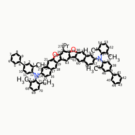 Cc1cc(-c2ccccc2)ccc1N(c1ccc2cc3c(cc2c1)oc1c(C(C)C)c2oc4cc5cc(N(c6ccc(-c7ccccc7)cc6C)c6c(C)cccc6C)ccc5cc4c2cc13)c1c(C)cccc1C